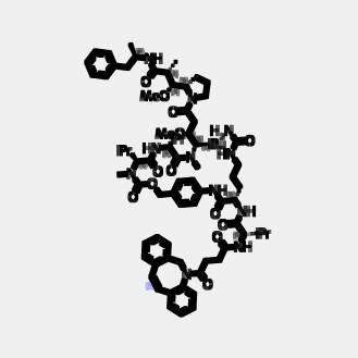 CC[C@H](C)[C@@H]([C@@H](CC(=O)N1CCC[C@H]1[C@H](OC)[C@@H](C)C(=O)N[C@H](C)Cc1ccccc1)OC)N(C)C(=O)[C@@H](NC(=O)[C@H](C(C)C)N(C)C(=O)OCc1ccc(NC(=O)[C@H](CCCNC(N)=O)NC(=O)[C@@H](NC(=O)CCC(=O)N2Cc3ccccc3/C=C\c3ccccc32)C(C)C)cc1)C(C)C